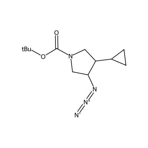 CC(C)(C)OC(=O)N1CC(N=[N+]=[N-])C(C2CC2)C1